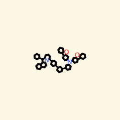 c1ccc(-c2c3c4ccccc4ccc3n3c(-c4ccc(-c5cccc(-c6cccc(N(c7ccc8c(c7)oc7ccccc78)c7ccc8c(c7)oc7ccccc78)c6)c5)cc4)cccc23)cc1